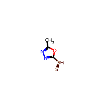 Cc1nnc([SH]=S)o1